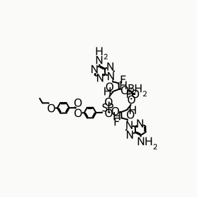 B[P@@]1(=O)OC[C@H]2O[C@@H](n3cnc4c(N)ccnc43)[C@H](F)[C@@H]2O[P@](=O)(SCc2ccc(OC(=O)c3ccc(OCCC)cc3)cc2)OC[C@H]2O[C@@H](n3cnc4c(N)ncnc43)[C@H](F)[C@@H]2O1